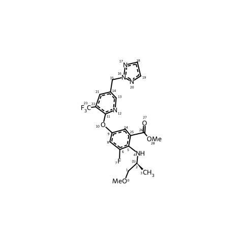 COC[C@H](C)Nc1c(F)cc(Oc2ncc(Cn3nccn3)cc2C(F)(F)F)cc1C(=O)OC